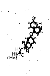 CCCCCCNC(=O)N[C@@H]1[C@H]2Oc3ccc(Oc4ccnc5c4CCC(=O)N5)cc3[C@@H]12